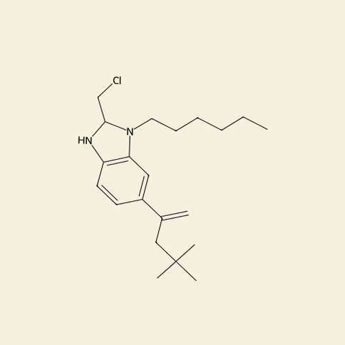 C=C(CC(C)(C)C)c1ccc2c(c1)N(CCCCCC)C(CCl)N2